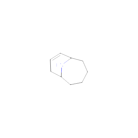 C1=CC2CCCCC(C1)N2